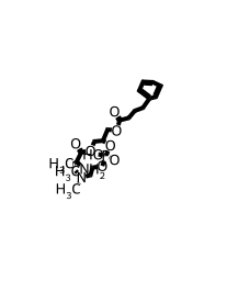 C[C@@H](N)C(=O)OCC(COC(=O)CCCc1ccccc1)OP(=O)(O)OCCN(C)C